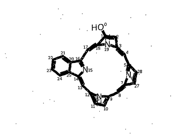 Oc1cc2cc3nc(cc4ccc(cc5nc(cc1[nH]2)-c1ccccc1-5)[nH]4)C=C3